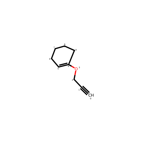 C#CCOC1=CCC[CH]C1